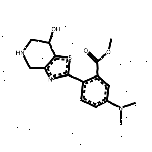 COC(=O)c1cc(N(C)C)ccc1-c1nc2c(s1)C(O)CNC2